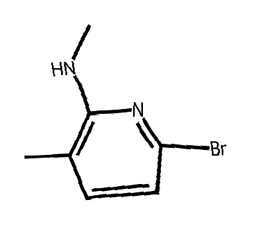 CNc1nc(Br)ccc1C